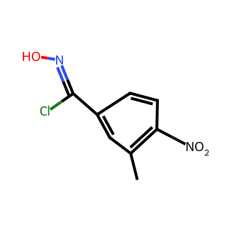 Cc1cc(C(Cl)=NO)ccc1[N+](=O)[O-]